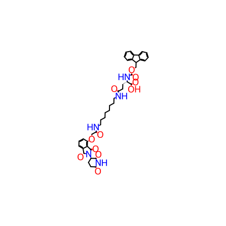 O=C(CC[C@H](NC(=O)OCC1c2ccccc2-c2ccccc21)C(=O)O)NCCCCCCCCNC(=O)COc1cccc2c1C(=O)N(C1CCC(=O)NC1=O)C2=O